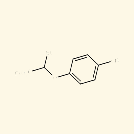 CCOC(=O)C(CC)Oc1ccc(C#N)cc1